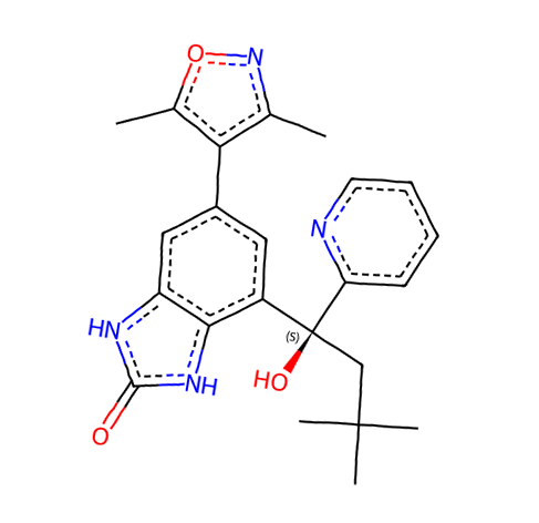 Cc1noc(C)c1-c1cc([C@@](O)(CC(C)(C)C)c2ccccn2)c2[nH]c(=O)[nH]c2c1